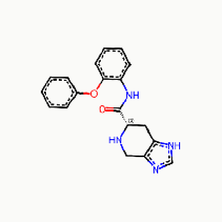 O=C(Nc1ccccc1Oc1ccccc1)[C@@H]1Cc2[nH]cnc2CN1